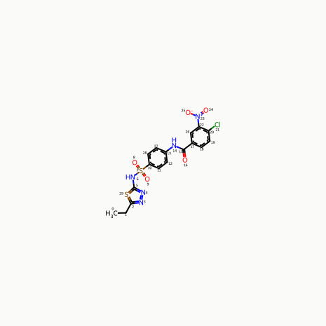 CCc1nnc(NS(=O)(=O)c2ccc(NC(=O)c3ccc(Cl)c([N+](=O)[O-])c3)cc2)s1